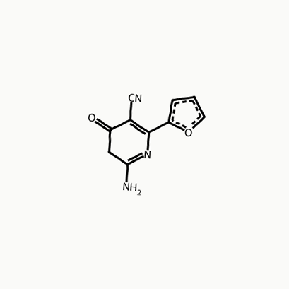 N#CC1=C(c2ccco2)N=C(N)CC1=O